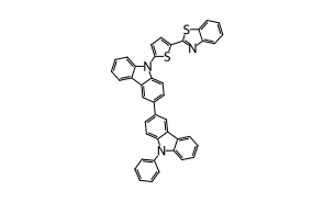 c1ccc(-n2c3ccccc3c3cc(-c4ccc5c(c4)c4ccccc4n5-c4ccc(-c5nc6ccccc6s5)s4)ccc32)cc1